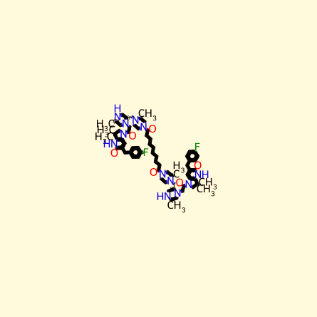 CC1CN(C(=O)CCCCCCCCC(=O)N2CCN(C[C@H]3CN[C@H](C)CN3CC(=O)N3CC(C)(C)c4[nH]c(=O)c(Cc5ccc(F)cc5)cc43)C(C)C2)CCN1C[C@H]1CN[C@H](C)CN1CC(=O)N1CC(C)(C)c2[nH]c(=O)c(Cc3ccc(F)cc3)cc21